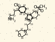 CS(=O)(=O)N1CCc2c(c(-c3ccc(Cl)c(CCCN)c3)nn2CCCN2CCOCC2)C1